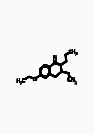 CCCC1Nc2ccc(OCC)cc2CC1CC